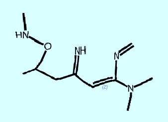 C=N/C(=C\C(=N)CC(C)ONC)N(C)C